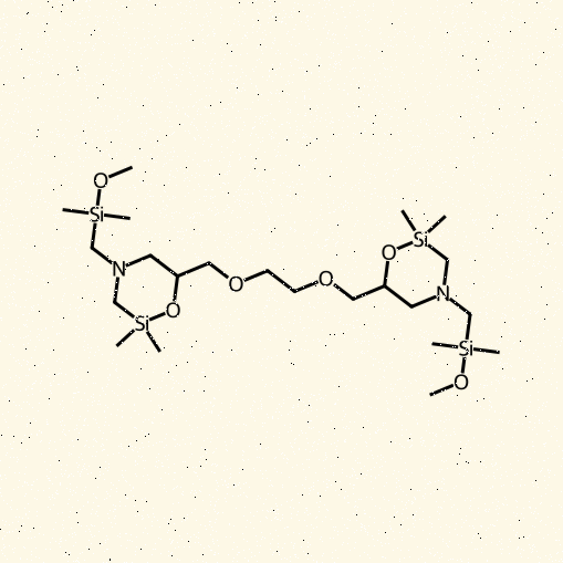 CO[Si](C)(C)CN1CC(COCCOCC2CN(C[Si](C)(C)OC)C[Si](C)(C)O2)O[Si](C)(C)C1